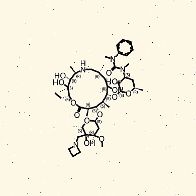 CC[C@H]1OC(=O)[C@H](C)[C@@H](O[C@H]2C[C@@](C)(OC)[C@](O)(CN3CCC3)[C@H](C)O2)[C@H](C)[C@@H](O[C@@H]2O[C@H](C)C[C@H](N(C)C(=O)N(C)c3ccccc3)[C@H]2O)[C@](C)(O)C[C@@H](C)CN[C@H](C)[C@@H](O)[C@]1(C)O